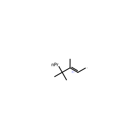 [CH2]/C=C(\C)C(C)(C)CCC